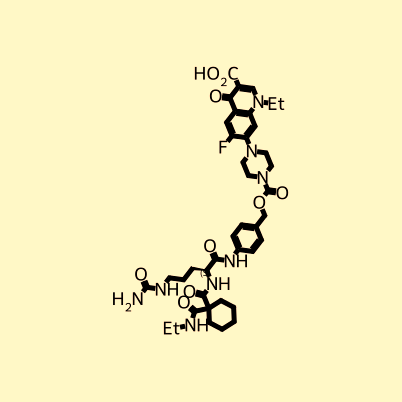 CCNC(=O)C1(C(=O)N[C@@H](CCCNC(N)=O)C(=O)Nc2ccc(COC(=O)N3CCN(c4cc5c(cc4F)c(=O)c(C(=O)O)cn5CC)CC3)cc2)CCCCC1